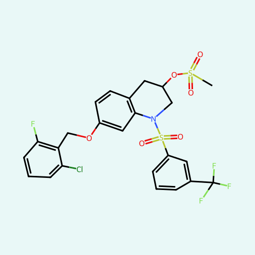 CS(=O)(=O)OC1Cc2ccc(OCc3c(F)cccc3Cl)cc2N(S(=O)(=O)c2cccc(C(F)(F)F)c2)C1